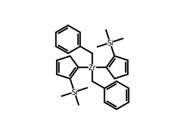 C[Si](C)(C)C1=[C]([Zr]([CH2]c2ccccc2)([CH2]c2ccccc2)[C]2=C([Si](C)(C)C)C=CC2)CC=C1